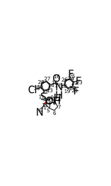 N#CC[C@]1(O)C2CC[C@@H]1C[C@@H](Sc1cc(C(=O)Nc3cc(F)c(F)c(F)c3)ccc1Cl)C2